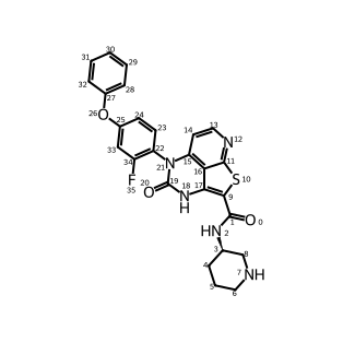 O=C(N[C@@H]1CCCNC1)c1sc2nccc3c2c1NC(=O)N3c1ccc(Oc2ccccc2)cc1F